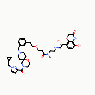 CN(CCNC[C@H](O)c1ccc(O)c2c1OCC(=O)N2)C(=O)CCOCCc1cccc(CN2CCC3(CC2)CN(C(=O)c2ccn(CC4CC4)n2)CCO3)c1